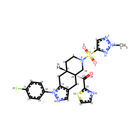 Cn1ncc(S(=O)(=O)N2CC[C@H]3Cc4c(cnn4-c4ccc(F)cc4)C[C@]3(C(=O)c3nccs3)C2)n1